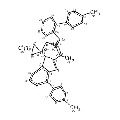 CCC1=Cc2c(-c3ccc(C)cc3)cccc2[CH]1[Hf+2]1([CH]2C(CC)=Cc3c(-c4ccc(C)cc4)cccc32)[CH2][CH2]1.[Cl-].[Cl-]